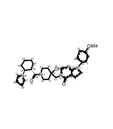 COc1ccc(-n2ccc3c(=O)n(CC4(O)CCN(C(=O)[C@H]5CCCC[C@@H]5n5cccc5)CC4)cnc32)cc1